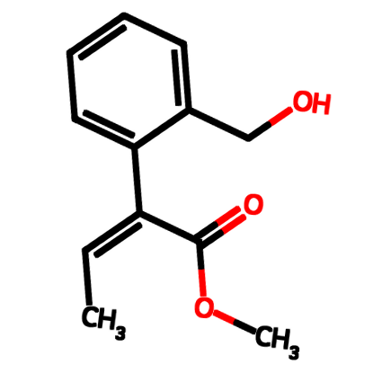 CC=C(C(=O)OC)c1ccccc1CO